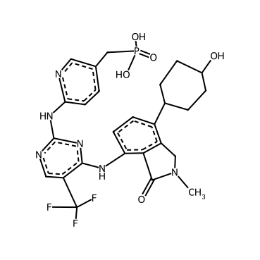 CN1Cc2c(C3CCC(O)CC3)ccc(Nc3nc(Nc4ccc(CP(=O)(O)O)cn4)ncc3C(F)(F)F)c2C1=O